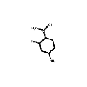 CN(C)C1CCC(N)CC1F